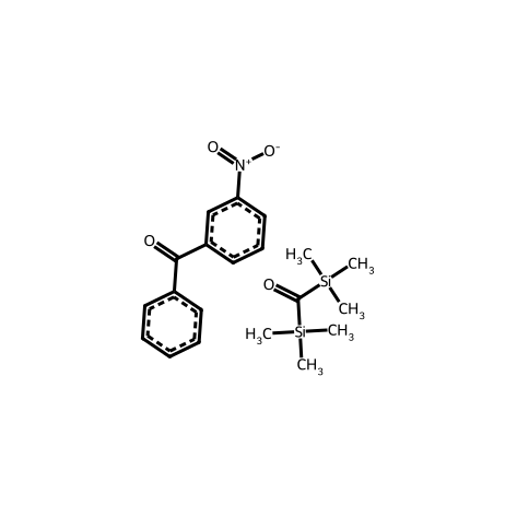 C[Si](C)(C)C(=O)[Si](C)(C)C.O=C(c1ccccc1)c1cccc([N+](=O)[O-])c1